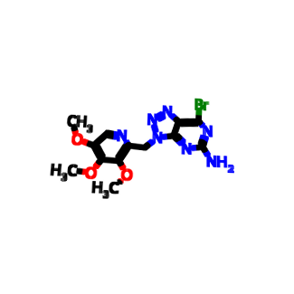 COc1cnc(Cn2nnc3c(Br)nc(N)nc32)c(OC)c1OC